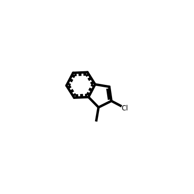 CC1C(Cl)=Cc2ccccc21